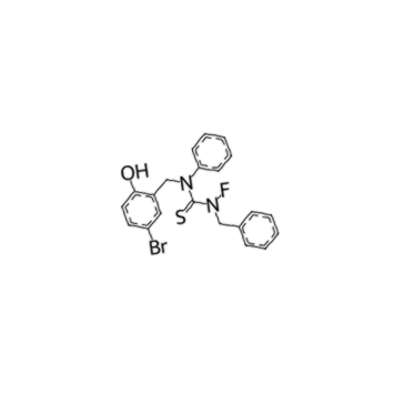 Oc1ccc(Br)cc1CN(C(=S)N(F)Cc1ccccc1)c1ccccc1